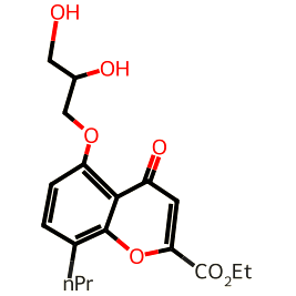 CCCc1ccc(OCC(O)CO)c2c(=O)cc(C(=O)OCC)oc12